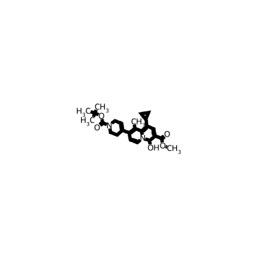 COC(=O)C1=CC(C2CC2)=C2C(C)=C(C3=CCN(C(=O)OC(C)(C)C)CC3)C=CN2C1O